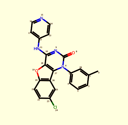 Cc1cccc(-n2c(=O)nc(Nc3ccncc3)c3oc4ccc(Cl)cc4c32)c1